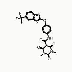 CN1C(=O)C(C(=O)Nc2ccc(Oc3nc4ccc(C(F)(F)F)cc4s3)cc2)C(=O)N(C)C1=O